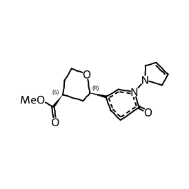 COC(=O)[C@H]1CCO[C@@H](c2ccc(=O)n(N3CC=CC3)c2)C1